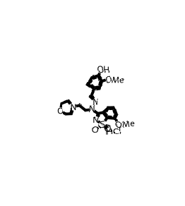 COc1cc(/C=N/N(CCN2CCOCC2)C2=NS(=O)(=O)c3c(OC)cccc32)ccc1O.Cl